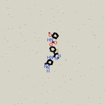 COc1ccccc1NC(=O)OC1CCc2c(sc3ncnc(Nc4ccc5[nH]ncc5c4)c23)C1